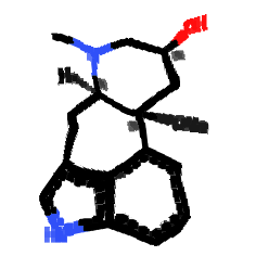 CO[C@]12C[C@H](O)CN(C)[C@@H]1Cc1c[nH]c3cccc2c13